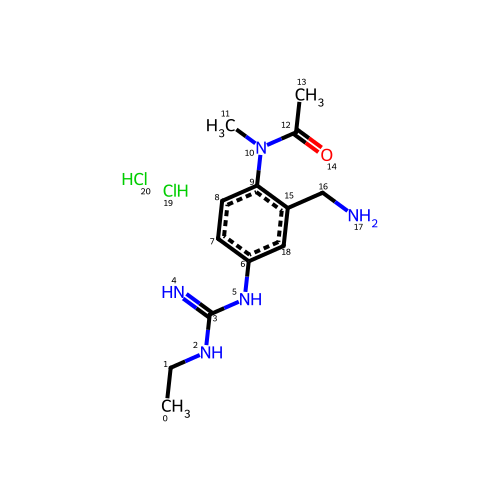 CCNC(=N)Nc1ccc(N(C)C(C)=O)c(CN)c1.Cl.Cl